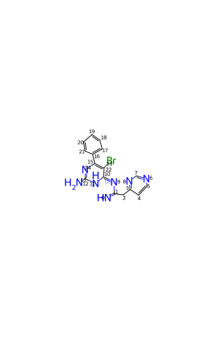 N=C(Cc1ccncn1)/N=c1\[nH]c(N)nc(-c2ccccc2)c1Br